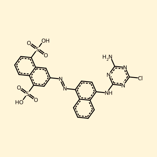 Nc1nc(Cl)nc(Nc2ccc(N=Nc3cc(S(=O)(=O)O)c4cccc(S(=O)(=O)O)c4c3)c3ccccc23)n1